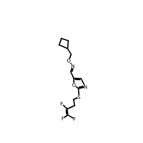 FC(F)=C(F)CCSc1ncc(/C=N/OCC2CCC2)o1